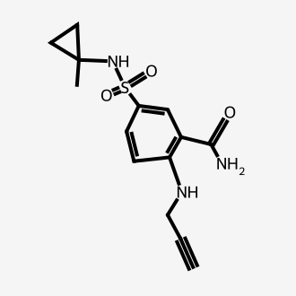 C#CCNc1ccc(S(=O)(=O)NC2(C)CC2)cc1C(N)=O